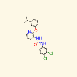 CC(C)c1cccc(Oc2ncccc2NC(=O)Nc2ccc(Cl)c(Cl)c2)c1